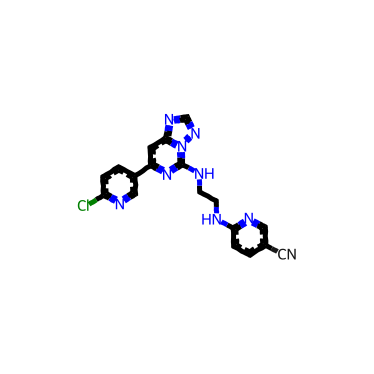 N#Cc1ccc(NCCNc2nc(-c3ccc(Cl)nc3)cc3ncnn23)nc1